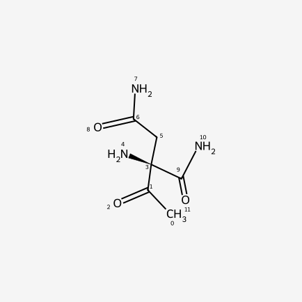 CC(=O)[C@](N)(CC(N)=O)C(N)=O